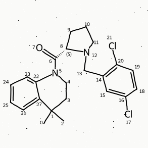 CC1(C)CCN(C(=O)[C@@H]2CCCN2Cc2cc(Cl)ccc2Cl)c2ccccc21